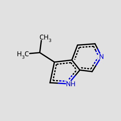 CC(C)c1c[nH]c2cnccc12